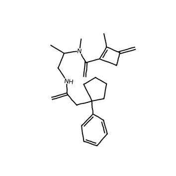 C=C(CC1(c2ccccc2)CCCC1)NCC(C)N(C)C(=C)C1=C(C)C(=C)C1